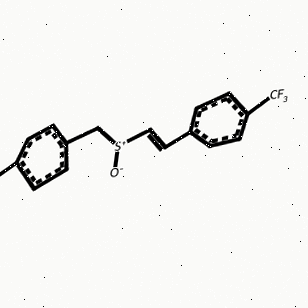 [O-][S+](C=Cc1ccc(C(F)(F)F)cc1)Cc1ccc(Cl)cc1